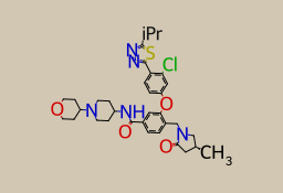 CC(C)c1nnc(-c2ccc(Oc3cc(C(=O)NC4CCN(C5CCOCC5)CC4)ccc3CN3C[C@@H](C)CC3=O)cc2Cl)s1